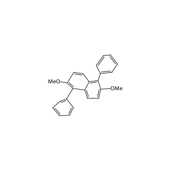 COc1ccc2c(-c3ccccc3)c(OC)ccc2c1-c1ccccc1